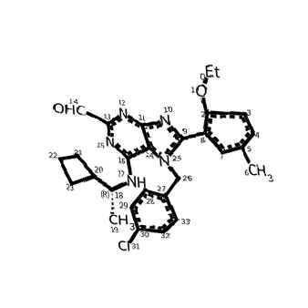 CCOc1ccc(C)cc1-c1nc2nc(C=O)nc(N[C@H](C)C3CCC3)c2n1Cc1ccc(Cl)cc1